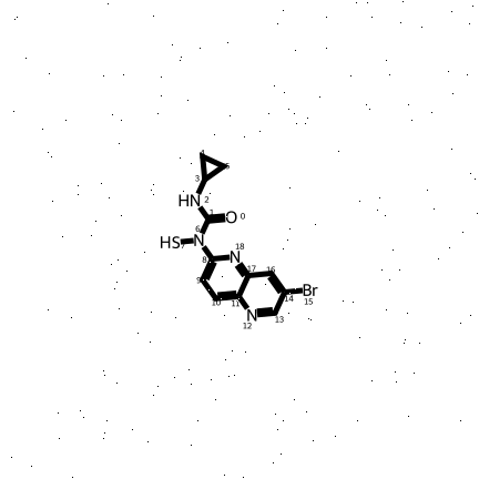 O=C(NC1CC1)N(S)c1ccc2ncc(Br)cc2n1